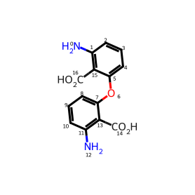 Nc1cccc(Oc2cccc(N)c2C(=O)O)c1C(=O)O